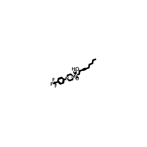 CCCCCC#C[C](O)CS(=O)(=O)N1CCN(c2ccc(C(F)(F)F)cc2)CC1